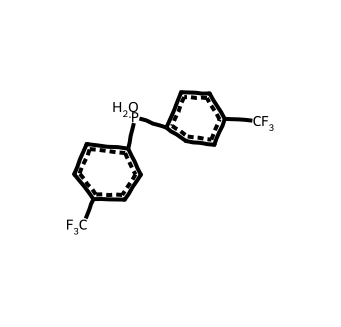 FC(F)(F)c1ccc([P]c2ccc(C(F)(F)F)cc2)cc1.O